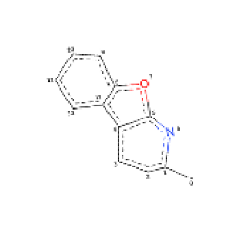 Cc1ccc2c(n1)oc1ccccc12